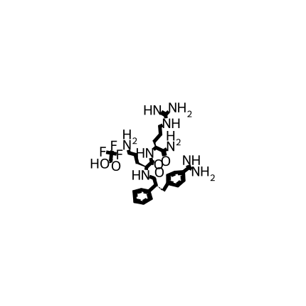 N=C(N)NCCC[C@H](NC(=O)[C@H](CCCN)NC(=O)[C@H](Cc1ccc(C(=N)N)cc1)c1ccccc1)C(N)=O.O=C(O)C(F)(F)F